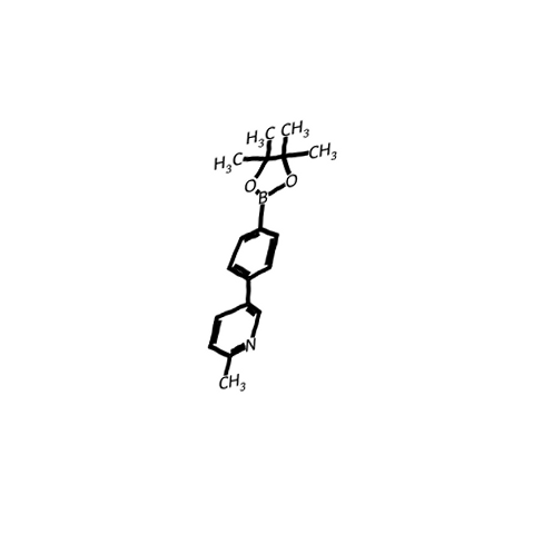 Cc1ccc(-c2ccc(B3OC(C)(C)C(C)(C)O3)cc2)cn1